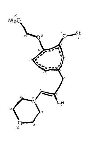 CCOc1cc(CC(C#N)=CN2CCOCC2)ccc1OCOC